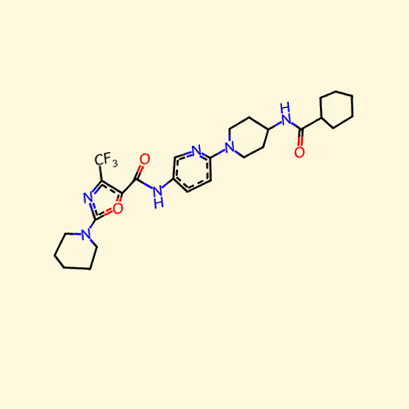 O=C(Nc1ccc(N2CCC(NC(=O)C3CCCCC3)CC2)nc1)c1oc(N2CCCCC2)nc1C(F)(F)F